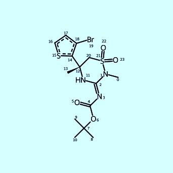 CN1/C(=N/C(=O)OC(C)(C)C)N[C@](C)(c2sccc2Br)CS1(=O)=O